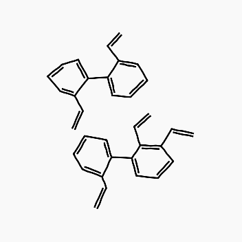 C=Cc1ccccc1-c1cccc(C=C)c1C=C.C=Cc1ccccc1-c1ccccc1C=C